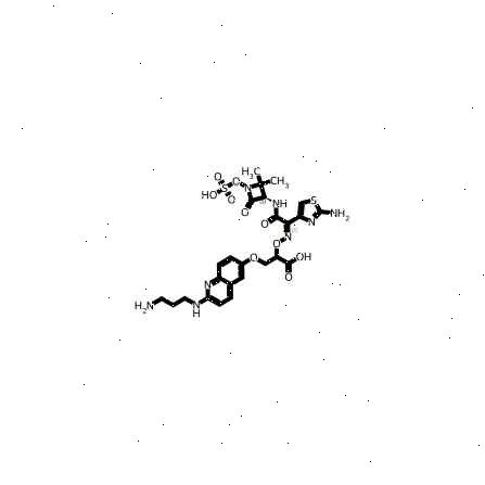 CC1(C)[C@H](NC(=O)/C(=N\OC(COc2ccc3nc(NCCCN)ccc3c2)C(=O)O)c2csc(N)n2)C(=O)N1OS(=O)(=O)O